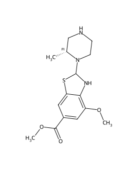 COC(=O)c1cc(OC)c2c(c1)SC(N1CCNC[C@H]1C)N2